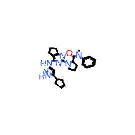 CN(C(=O)C1CCCN1c1nc2c(c(Nc3cc(C4CCCC4)[nH]n3)n1)CCC2)c1ccccc1